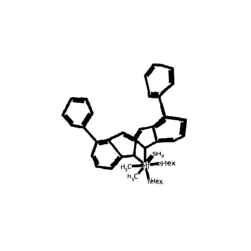 CCCCC[CH2][Hf]([CH3])([CH3])(=[SiH2])([CH2]CCCCC)([CH]1C=Cc2c(-c3ccccc3)cccc21)[CH]1C=Cc2c(-c3ccccc3)cccc21